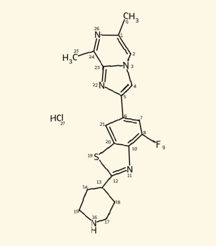 Cc1cn2cc(-c3cc(F)c4nc(C5CCNCC5)sc4c3)nc2c(C)n1.Cl